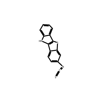 S=C=Nc1ccc2c(c1)sc1c3ccccc3[nH]c21